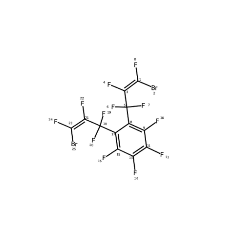 FC(Br)=C(F)C(F)(F)c1c(F)c(F)c(F)c(F)c1C(F)(F)C(F)=C(F)Br